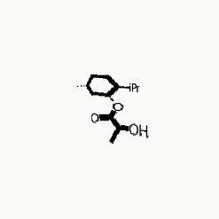 CC(O)C(=O)O[C@@H]1C[C@H](C)CC[C@H]1C(C)C